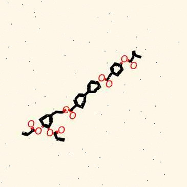 C=CC(=O)Oc1ccc(CCOC(=O)c2ccc(-c3ccc(OC(=O)c4ccc(OC(=O)C(=C)C)cc4)cc3)cc2)cc1OC(=O)C=C